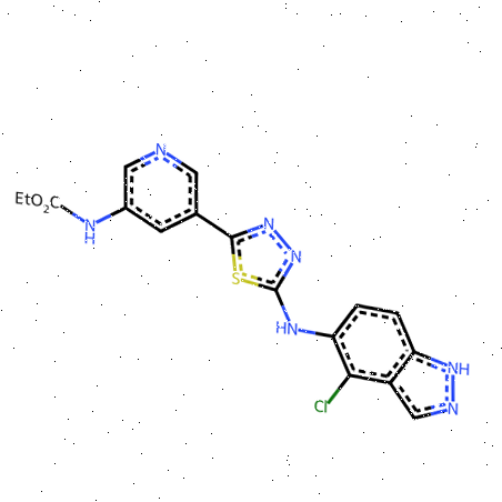 CCOC(=O)Nc1cncc(-c2nnc(Nc3ccc4[nH]ncc4c3Cl)s2)c1